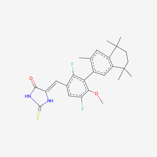 COc1c(F)cc(/C=C2\NC(=S)NC2=O)c(F)c1-c1cc2c(cc1C)C(C)(C)CCC2(C)C